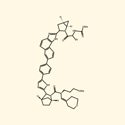 COCCC[C@@H](C=C1CCOCC1)C(=O)N1C(c2ncc(-c3ccc(-c4ccc5c(ccc6nc(C7C[C@H]8C[C@H]8N7C(=O)C(NC(=O)OC)C(C)C)[nH]c65)c4)cc3)[nH]2)[C@H]2CC[C@@H]1C2